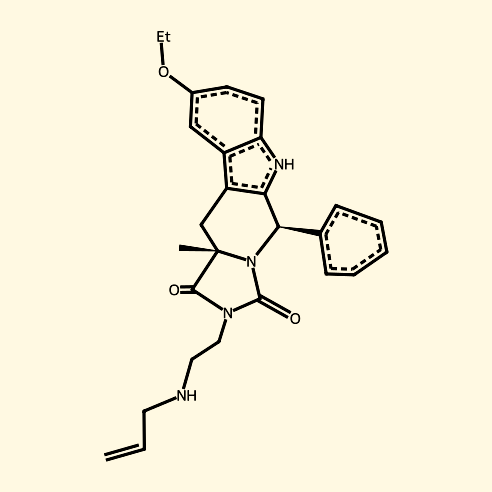 C=CCNCCN1C(=O)N2[C@H](c3ccccc3)c3[nH]c4ccc(OCC)cc4c3C[C@@]2(C)C1=O